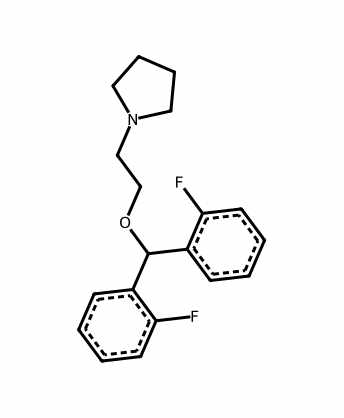 Fc1ccccc1C(OCCN1CCCC1)c1ccccc1F